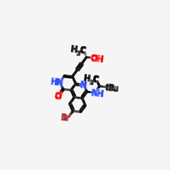 CC(Nc1nc2c(C#C[C@H](C)O)c[nH]c(=O)c2c2cc(Br)ccc12)C(C)(C)C